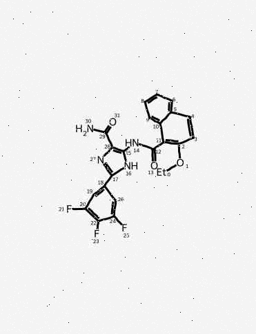 CCOc1ccc2ccccc2c1C(=O)Nc1[nH]c(-c2cc(F)c(F)c(F)c2)nc1C(N)=O